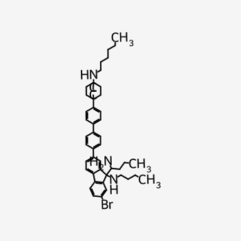 CCCCCCNC12CCC(c3ccc(-c4ccc(-c5ccc6c(c5)C(NCCCC)(C(N)CCC)c5cc(Br)ccc5-6)cc4)cc3)(CC1)CC2